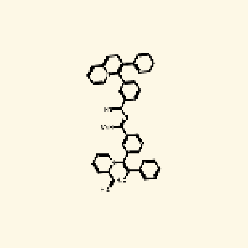 C=CC1C=CC=CN1/C(=C(\C)c1ccccc1)c1cccc(/C(=N/C(=N)c2cccc(C3=C(C4=CCCC=C4)CC=C4C=CC=CN43)c2)NC)c1